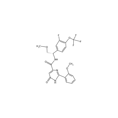 COC[C@@H](NC(=O)c1cc(=O)[nH]c(-c2ccccc2OC)n1)c1ccc(OC(F)(F)F)c(F)c1